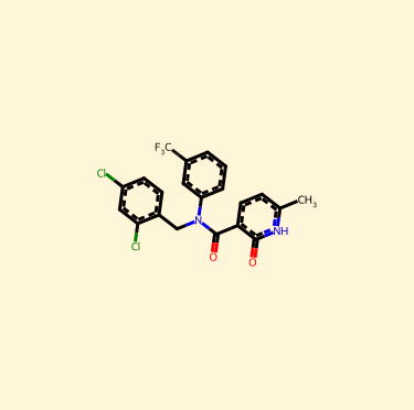 Cc1ccc(C(=O)N(Cc2ccc(Cl)cc2Cl)c2cccc(C(F)(F)F)c2)c(=O)[nH]1